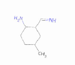 CC1CCC(N)C(C=N)C1